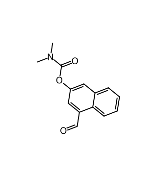 CN(C)C(=O)Oc1cc(C=O)c2ccccc2c1